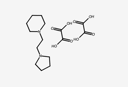 C1CCN(CCN2CCCC2)CC1.O=C(O)C(=O)O.O=C(O)C(=O)O